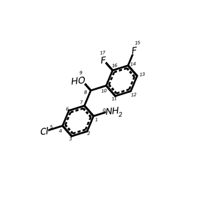 Nc1ccc(Cl)cc1C(O)c1cccc(F)c1F